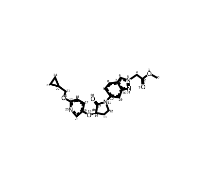 COC(=O)Cn1cc2ccc(N3CC[C@@H](Oc4ccc(OCC5CC5)nc4)C3=O)cc2n1